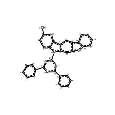 N#Cc1ccc2c(n1)c1cc3c(cc1n2-c1nc(-c2ccccc2)nc(-c2ccccc2)n1)sc1ccccc13